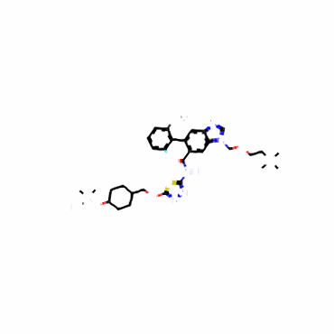 COc1cccc(F)c1-c1cc2ncn(COCC[Si](C)(C)C)c2cc1C(=O)Nc1nnc(OCC2CCC(O[Si](C)(C)C(C)(C)C)CC2)s1